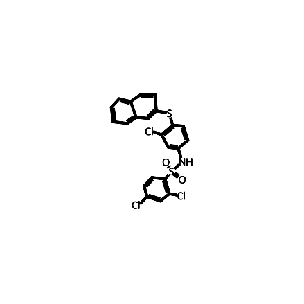 O=S(=O)(Nc1ccc(Sc2ccc3ccccc3c2)c(Cl)c1)c1ccc(Cl)cc1Cl